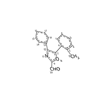 Cc1ccccc1-c1oc(C=O)nc1-c1ccccc1